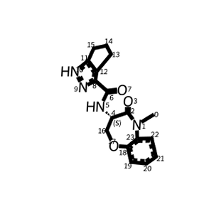 CN1C(=O)[C@@H](NC(=O)c2n[nH]c3c2CCC3)COc2ccccc21